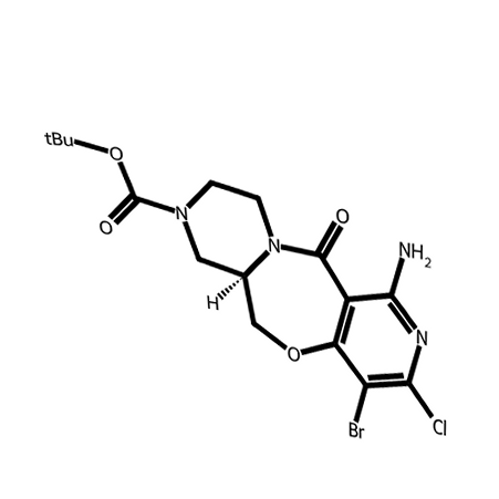 CC(C)(C)OC(=O)N1CCN2C(=O)c3c(N)nc(Cl)c(Br)c3OC[C@H]2C1